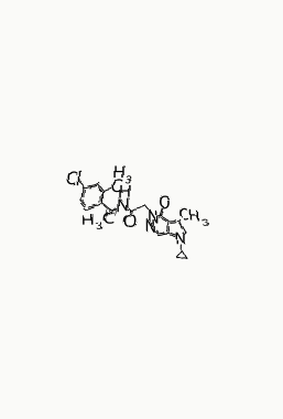 Cc1cc(Cl)ccc1[C@H](C)NC(=O)Cn1ncc2c(c(C)cn2C2CC2)c1=O